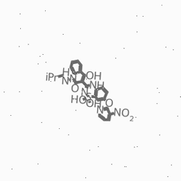 CC(C)CNn1c(=O)c(C2=NS(O)(O)c3cc(Oc4ncccc4[N+](=O)[O-])ccc3N2)c(O)c2ccccc21